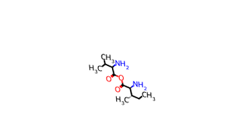 CC[C@H](C)[C@H](N)C(=O)OC(=O)C(N)C(C)C